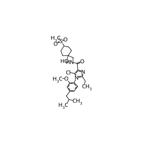 CCc1nc(C(=O)NCC2(O)CCC(S(C)(=O)=O)CC2)c(Cl)n1-c1ccc(CC(C)C)cc1OC